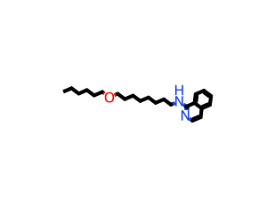 CCCCCCOCCCCCCCCNc1nccc2ccccc12